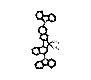 CC1(C)c2cc3cc(-n4c5ccccc5c5ccccc54)ccc3cc2C2c3ccccc3C(n3c4ccccc4c4ccccc43)=CC21